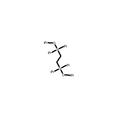 CC(C)O[Si](CC[Si](OC(C)C)(C(C)C)C(C)C)(C(C)C)C(C)C